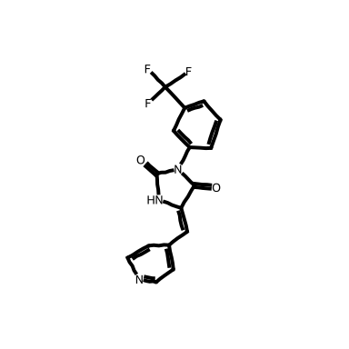 O=C1N/C(=C\c2ccncc2)C(=O)N1c1cccc(C(F)(F)F)c1